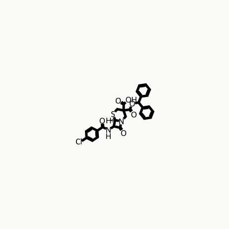 O=C(NC1C(=O)N2CC(C(=O)O)(C(=O)OC(c3ccccc3)c3ccccc3)CS[C@H]12)c1ccc(Cl)cc1